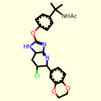 CC(=O)NC(C)(C)c1ccc(OC2=NC3=NC(c4ccc5c(c4)OCCO5)C(Cl)CC3N2)cc1